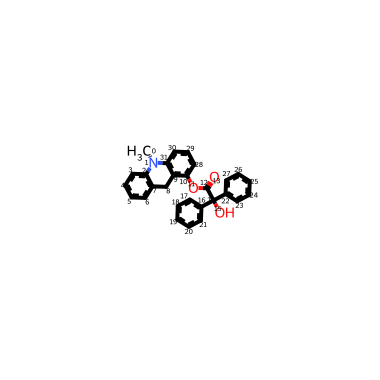 CN1c2ccccc2Cc2c(OC(=O)C(O)(c3ccccc3)c3ccccc3)cccc21